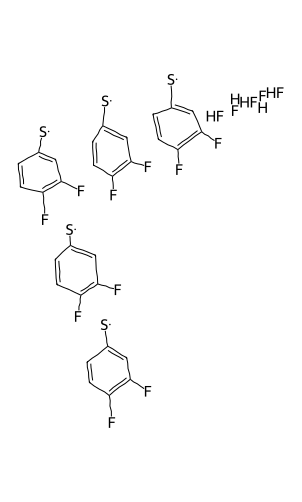 F.F.F.F.F.Fc1ccc([S])cc1F.Fc1ccc([S])cc1F.Fc1ccc([S])cc1F.Fc1ccc([S])cc1F.Fc1ccc([S])cc1F